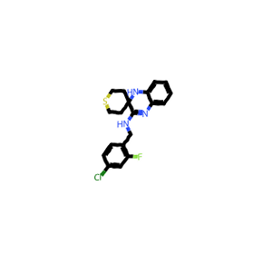 Fc1cc(Cl)ccc1CNC1=Nc2ccccc2NC12CCSCC2